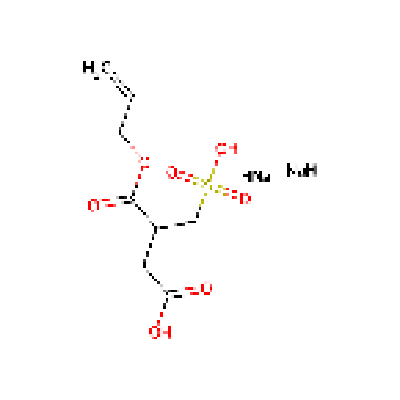 C=CCOC(=O)C(CC(=O)O)CS(=O)(=O)O.[NaH].[NaH]